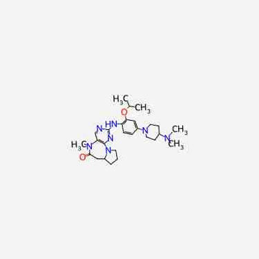 CC(C)Oc1cc(N2CCC(N(C)C)CC2)ccc1Nc1ncc2c(n1)N1CCCC1CC(=O)N2C